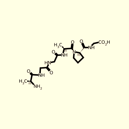 C[C@H](N)C(=O)NCC(=O)NCC(=O)N[C@@H](C)C(=O)N1CCC[C@H]1C(=O)NCC(=O)O